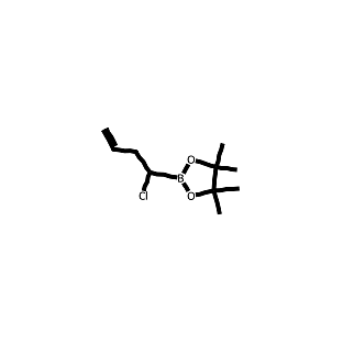 C=CCC(Cl)B1OC(C)(C)C(C)(C)O1